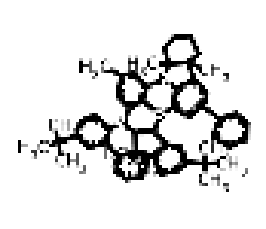 Cc1cc2c3c(c1)N1c4c(cc(-c5ccccc5)cc4C4(C)CCCCC14C)B3C1=C(N2c2ccc(C(C)(C)C)cc2-c2ccccc2)C(C)(C)c2ccc(C(C)(C)C)cc21